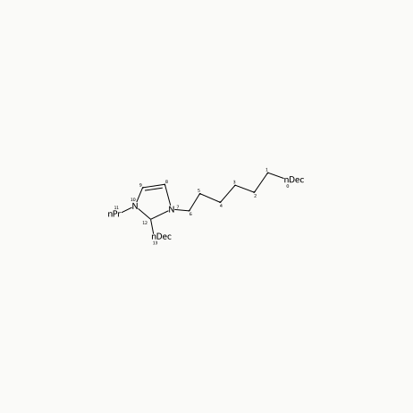 CCCCCCCCCCCCCCCCN1C=CN(CCC)C1CCCCCCCCCC